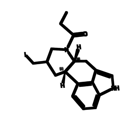 CCC(=O)N1CC(CI)C[C@@H]2c3cccc4[nH]cc(c34)C[C@H]21